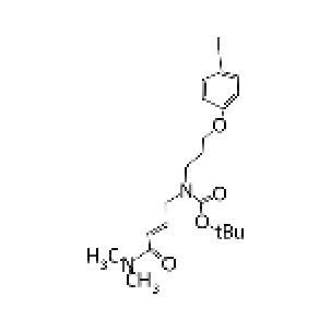 CN(C)C(=O)/C=C/CN(CCCOc1ccc(I)cc1)C(=O)OC(C)(C)C